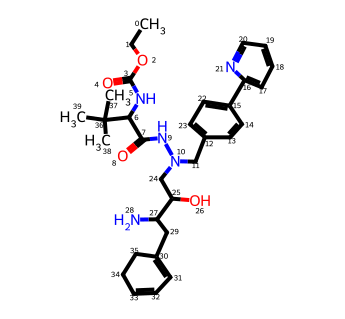 CCOC(=O)NC(C(=O)NN(Cc1ccc(-c2ccccn2)cc1)CC(O)C(N)CC1=CC=CCC1)C(C)(C)C